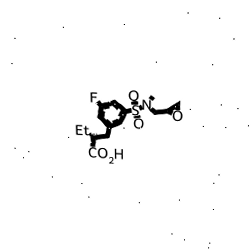 CC[C@@H](Cc1cc(F)cc(S(=O)(=O)N(C)CC2CO2)c1)C(=O)O